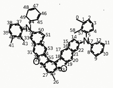 Cc1cccc(N(c2ccccc2)c2ccc3cc4c(cc3c2)oc2c(C)cc3oc5cc6cc(N(c7cccc(C)c7C)C7C=CC=CC7)ccc6cc5c3c24)c1C